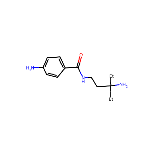 CCC(N)(CC)CCNC(=O)c1ccc(N)cc1